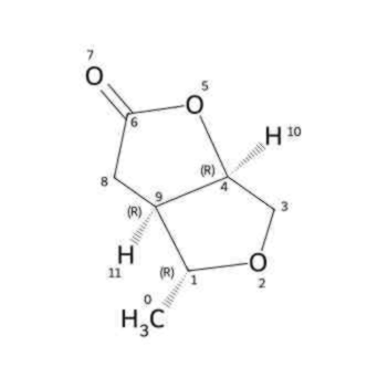 C[C@H]1OC[C@@H]2OC(=O)C[C@@H]21